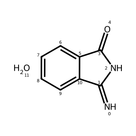 N=C1NC(=O)c2ccccc21.O